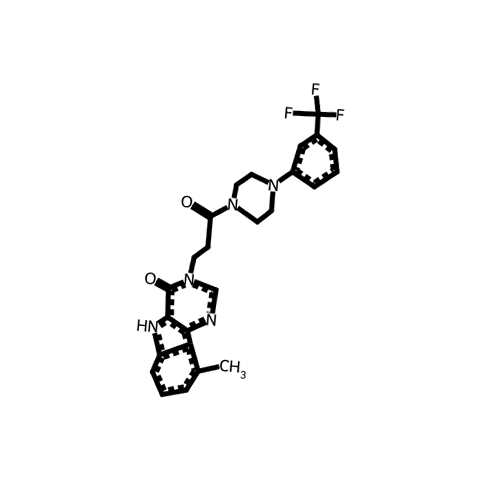 Cc1cccc2[nH]c3c(=O)n(CCC(=O)N4CCN(c5cccc(C(F)(F)F)c5)CC4)cnc3c12